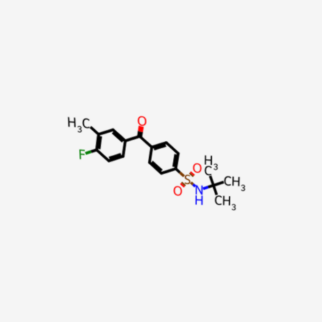 Cc1cc(C(=O)c2ccc(S(=O)(=O)NC(C)(C)C)cc2)ccc1F